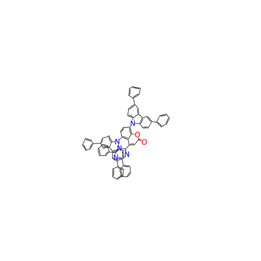 O=c1cc(-c2nc(-c3ccccc3)nc(-c3ccccc3)n2)c2c(-n3c4ccc(-c5ccccc5)cc4c4cc(-c5ccccc5)ccc43)ccc(-n3c4ccc(-c5ccccc5)cc4c4cc(-c5ccccc5)ccc43)c2o1